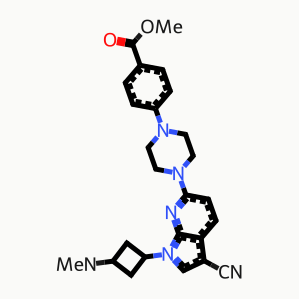 CNC1CC(n2cc(C#N)c3ccc(N4CCN(c5ccc(C(=O)OC)cc5)CC4)nc32)C1